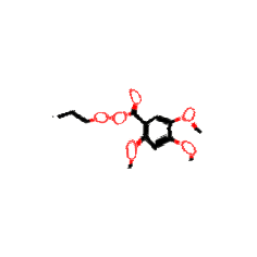 [CH2]CCOOC(=O)c1cc(OC)c(OC)cc1OC